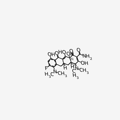 CN(C)c1c(F)cc(O)c2c1C[C@H]1C[C@H]3[C@H](N(C)C)C(O)=C(C(N)=O)C(=O)[C@@]3(O)C(O)=C1C2=O